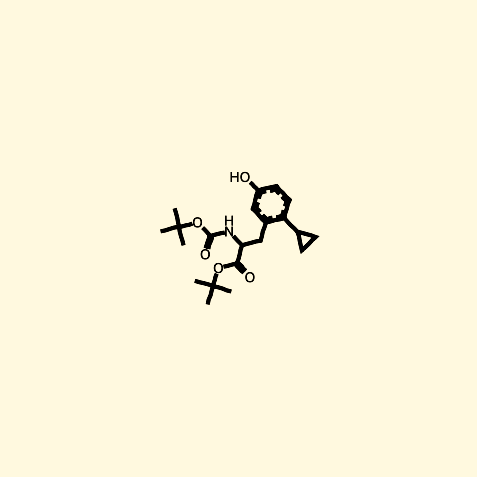 CC(C)(C)OC(=O)NC(Cc1cc(O)ccc1C1CC1)C(=O)OC(C)(C)C